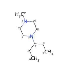 CCC(CC)N1CCN(C)CC1